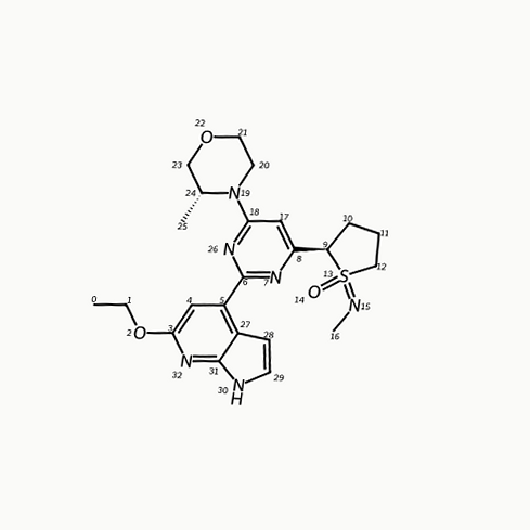 CCOc1cc(-c2nc([C@H]3CCCS3(=O)=NC)cc(N3CCOC[C@H]3C)n2)c2cc[nH]c2n1